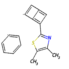 Cc1nc(-c2cc3c[c]c2-3)sc1C.[c]1ccccc1